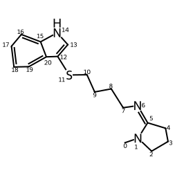 CN1CCCC1=NCCCCSc1c[nH]c2ccccc12